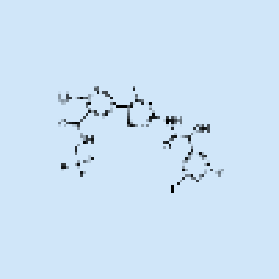 Cc1cc(NC(=O)[C@H](O)c2cc(F)cc(F)c2)ccc1-c1cnc(N)c(C(=O)NCC(F)(F)F)c1